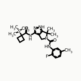 Cc1ccc(F)c(NC(=O)N2Cc3c(NC(=O)C4(S(C)(C)C)CCC4)n[nH]c3C2(C)C)c1